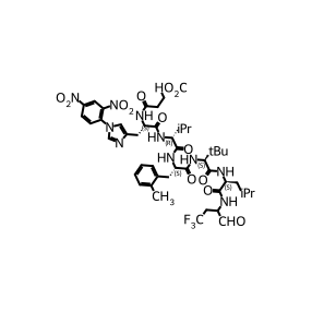 Cc1ccccc1C[C@H](NC(=O)[C@H](NC(=O)[C@H](Cc1cn(-c2ccc([N+](=O)[O-])cc2[N+](=O)[O-])cn1)NC(=O)CCC(=O)O)C(C)C)C(=O)N[C@H](C(=O)N[C@@H](CC(C)C)C(=O)NC(C=O)CC(F)(F)F)C(C)(C)C